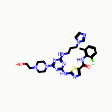 Cc1cccc(Cl)c1NC(=O)c1cnc(Nc2nc(NCCCn3ccnc3)nc(N3CCN(CCO)CC3)n2)s1